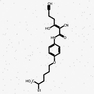 C#CCCC(O)=C(C#N)C(=O)Nc1ccc(OCCCCC(CC)C(=O)O)cc1